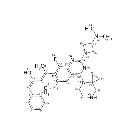 C/C(=C\C(O)=C/c1ccccc1C)c1c(Cl)cc2c(N3CCNCC34CC4)nc(N3CC(N(C)C)C3)nc2c1F